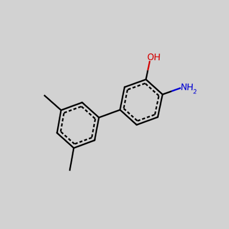 Cc1cc(C)cc(-c2ccc(N)c(O)c2)c1